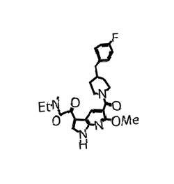 CCN(C)C(=O)C(=O)C1CNc2nc(OC)c(C(=O)N3CCC(Cc4ccc(F)cc4)CC3)cc21